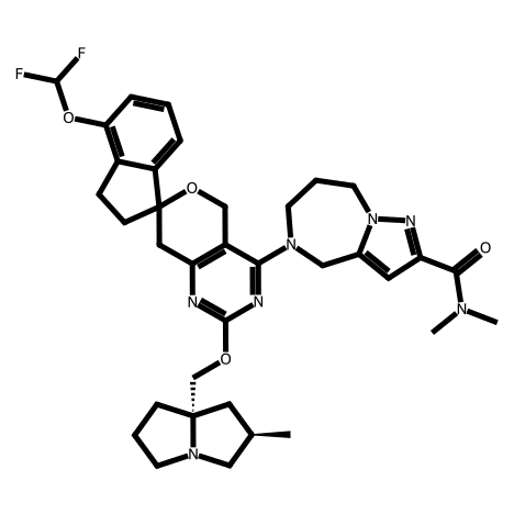 C[C@H]1CN2CCC[C@@]2(COc2nc3c(c(N4CCCn5nc(C(=O)N(C)C)cc5C4)n2)COC2(CCc4c(OC(F)F)cccc42)C3)C1